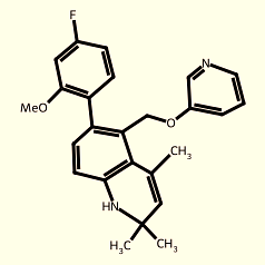 COc1cc(F)ccc1-c1ccc2c(c1COc1cccnc1)C(C)=CC(C)(C)N2